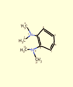 CN(C)c1[c]cccc1N(C)C